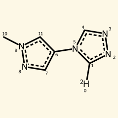 [2H]c1nncn1-c1cnn(C)c1